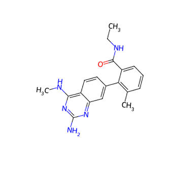 CCNC(=O)c1cccc(C)c1-c1ccc2c(NC)nc(N)nc2c1